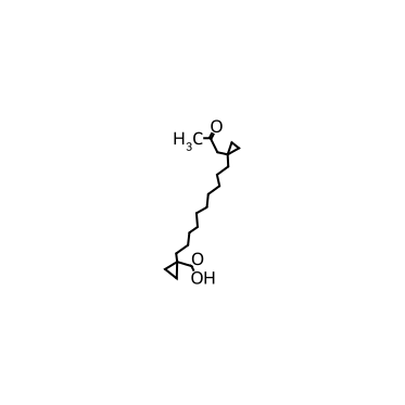 CC(=O)CC1(CCCCCCCCCCC2(C(=O)O)CC2)CC1